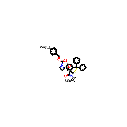 COc1ccc(COC(=O)N2CC[C@H]2C(=O)[C@H]2C(=O)N([Si](C)(C)C(C)(C)C)[C@@H]2SC(c2ccccc2)(c2ccccc2)c2ccccc2)cc1